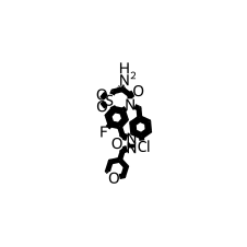 N[C@H]1CS(=O)(=O)c2cc(F)c(-c3nnc(C4CCOCC4)o3)cc2N(Cc2ccc(Cl)cc2)C1=O